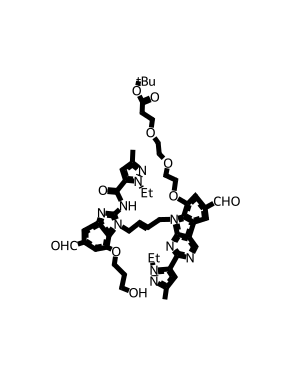 CCn1nc(C)cc1C(=O)Nc1nc2cc(C=O)cc(OCCCO)c2n1C/C=C/Cn1c2nc(-c3cc(C)nn3CC)ncc2c2cc(C=O)cc(OCCOCCOCCC(=O)OC(C)(C)C)c21